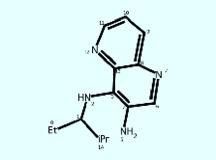 CCC(Nc1c(N)cnc2cccnc12)C(C)C